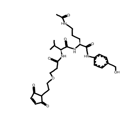 CC(=O)NCCC[C@H](NC(=O)[C@@H](NC(=O)CCOCCC1C(=O)C=CC1=O)C(C)C)C(=O)Nc1ccc(CO)cc1